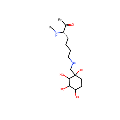 CC(C)N[C@@H](CCCCNCC1(O)CCC(O)C(O)C1O)C(=O)C(C)C